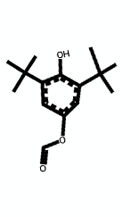 CC(C)(C)c1cc(OC=O)cc(C(C)(C)C)c1O